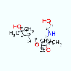 C=C(CNCCO)C(=O)C(C)(CC)OCCCCC(C)(C)O